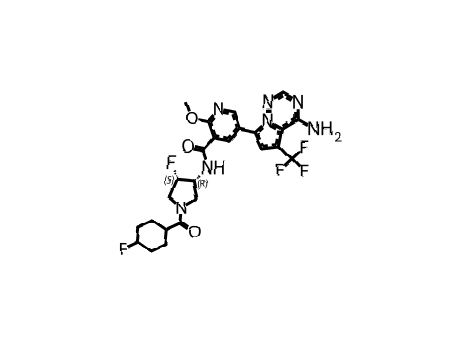 COc1ncc(-c2cc(C(F)(F)F)c3c(N)ncnn23)cc1C(=O)N[C@@H]1CN(C(=O)C2CCC(F)CC2)C[C@@H]1F